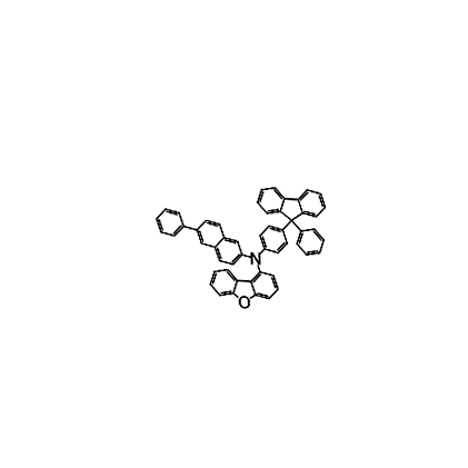 c1ccc(-c2ccc3cc(N(c4ccc(C5(c6ccccc6)c6ccccc6-c6ccccc65)cc4)c4cccc5oc6ccccc6c45)ccc3c2)cc1